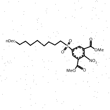 CCCCCCCCCCCCCCCCCCS(=O)(=O)c1cc(C(=O)OC)c([N+](=O)[O-])c(C(=O)OC)c1